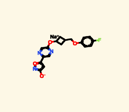 [Na+].[O-]c1cc(-c2cnc(OC3CC(COc4ccc(F)cc4)C3)cn2)on1